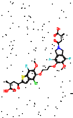 COc1c(F)c2c(c(F)c1OCCCOc1c(OC)c(F)c3sc(C(=O)C[C@H](C)C(=O)O)cc3c1Cl)CN(C(=O)C[C@H](C)C(=O)O)C2